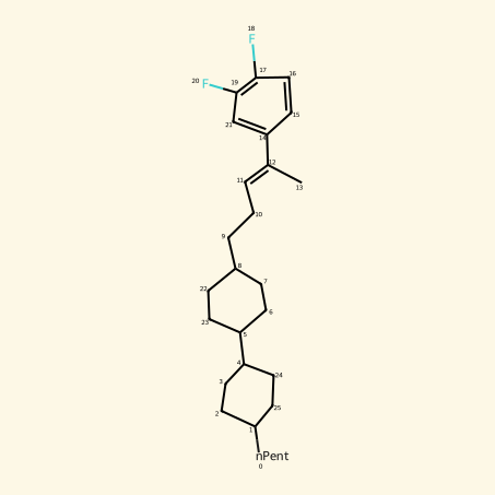 CCCCCC1CCC(C2CCC(CC/C=C(\C)c3ccc(F)c(F)c3)CC2)CC1